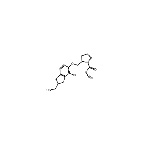 CC(C)(C)OC(=O)N1CCCC1COc1ccc2c(c1Br)CC(CO)C2